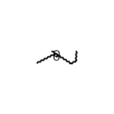 CCCCC/C=C\C/C=C\CCCCCCCC(=O)OC(CC)CCCCCCCCCCC